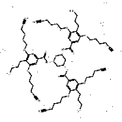 C#CCCCCOc1cc(C(=O)N[C@H]2C[C@@H](NC(=O)c3cc(OCCCCC#C)c(CCCN)c(OCCCCC#C)c3)C[C@@H](NC(=O)c3cc(OCCCCC#C)c(CCCN)c(OCCCCC#C)c3)C2)cc(OCCCC#C)c1CCCN